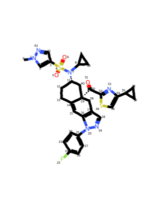 Cn1cc(S(=O)(=O)N(C2CC2)[C@H]2CCC3=Cc4c(cnn4-c4ccc(F)cc4)C[C@]3(C(=O)c3nc(C4CC4)cs3)C2)cn1